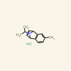 Cc1ccc2c(c1)C1C=CC2N1C(C)C.Cl